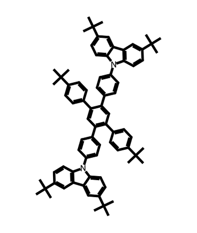 CC(C)(C)c1ccc(-c2cc(-c3ccc(-n4c5ccc(C(C)(C)C)cc5c5cc(C(C)(C)C)ccc54)cc3)c(-c3ccc(C(C)(C)C)cc3)cc2-c2ccc(-n3c4ccc(C(C)(C)C)cc4c4cc(C(C)(C)C)ccc43)cc2)cc1